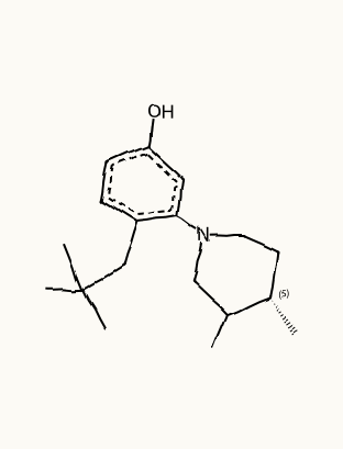 CC1CN(c2cc(O)ccc2CC(C)(C)C)CC[C@@H]1C